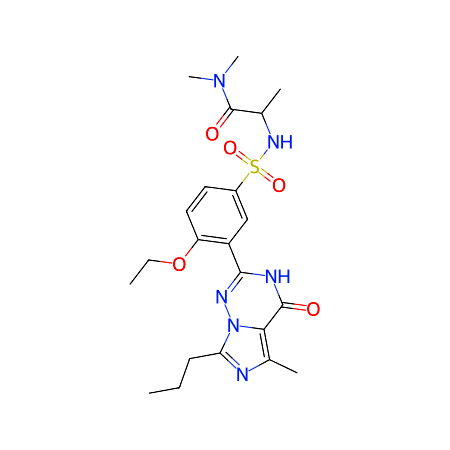 CCCc1nc(C)c2c(=O)[nH]c(-c3cc(S(=O)(=O)NC(C)C(=O)N(C)C)ccc3OCC)nn12